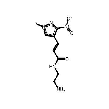 Cn1cc(C=CC(=O)NCCN)c([N+](=O)[O-])n1